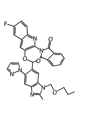 CCCOCn1c(C)nc2cc(-n3cccn3)c(C(C)Oc3cc4cc(F)ccc4nc3N3C(=O)c4ccccc4C3=O)cc21